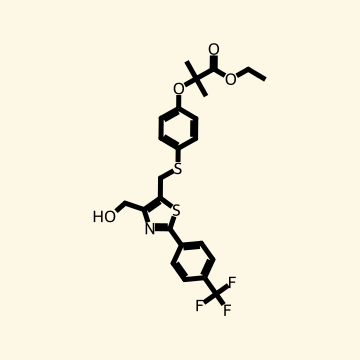 CCOC(=O)C(C)(C)Oc1ccc(SCc2sc(-c3ccc(C(F)(F)F)cc3)nc2CO)cc1